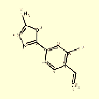 C=Cc1ccc(-c2nnc(C)o2)cc1I